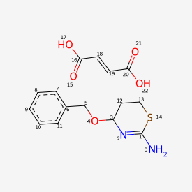 NC1=NC(OCc2ccccc2)CCS1.O=C(O)/C=C/C(=O)O